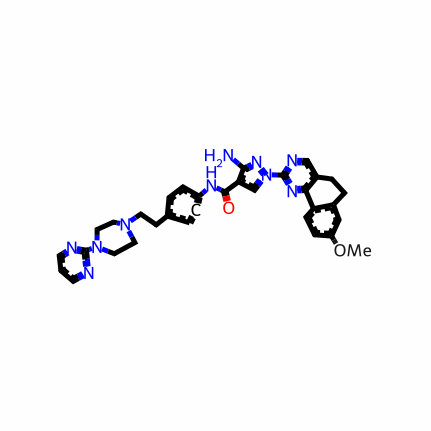 COc1ccc2c(c1)CCc1cnc(-n3cc(C(=O)Nc4ccc(CCN5CCN(c6ncccn6)CC5)cc4)c(N)n3)nc1-2